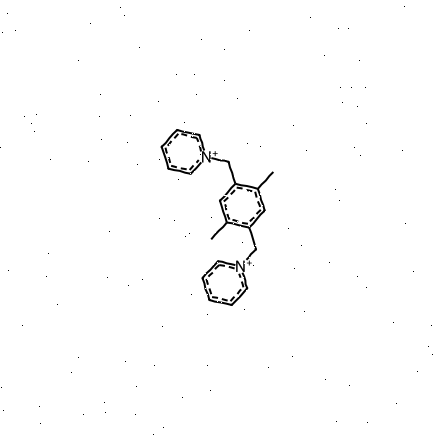 Cc1cc(C[n+]2ccccc2)c(C)cc1C[n+]1ccccc1